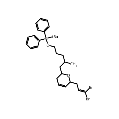 CC(CCCO[Si](c1ccccc1)(c1ccccc1)C(C)(C)C)CC1CC=CC(CC=C(Br)Br)O1